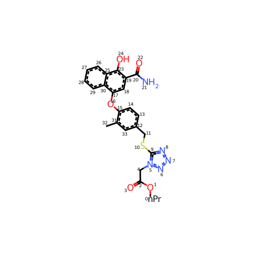 CCCOC(=O)Cn1nnnc1SCc1ccc(Oc2cc(C(N)=O)c(O)c3ccccc23)c(C)c1